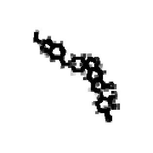 CCn1cc2ccc(CN3CCC4(CC3)COc3cc5c(cc34)CN(C3CCC(=O)NC3=O)C5=O)cc2n1